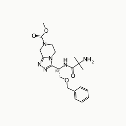 COC(=O)N1CCn2c(nnc2[C@@H](COCc2ccccc2)NC(=O)C(C)(C)N)C1